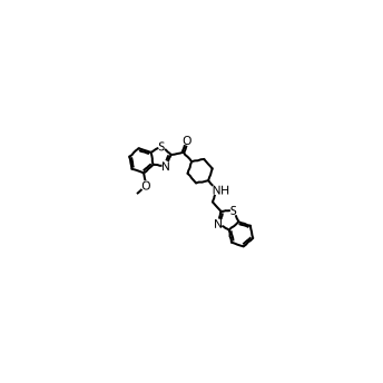 COc1cccc2sc(C(=O)C3CCC(NCc4nc5ccccc5s4)CC3)nc12